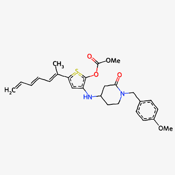 C=CC=CC=C(C)c1cc(NC2CCN(Cc3ccc(OC)cc3)C(=O)C2)c(OC(=O)OC)s1